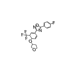 Fc1ccc(-c2nc(C3=CC(C(F)(F)F)C(OC4CCOC4)C=C3)no2)cc1